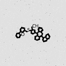 C=Cc1cc(C2=c3ccccc3=C(c3cccc4ccccc34)Cc3ccccc32)ccc1SCc1cccc2c1oc1ccccc12